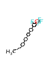 CCCCCC1CCC(C2CCC(c3ccc(C4CCC(c5ccc(OC(F)(F)F)c(F)c5)CC4)cc3)CC2)CC1